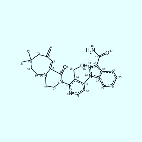 C=C1/C=C2/C(=O)N(c3nccc(-n4nc(C(N)=O)c5ccccc54)c3CO)CCN2CCC(C)(C)C1